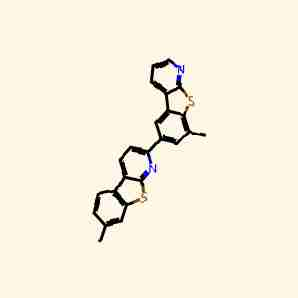 Cc1ccc2c(c1)sc1nc(-c3cc(C)c4sc5ncccc5c4c3)ccc12